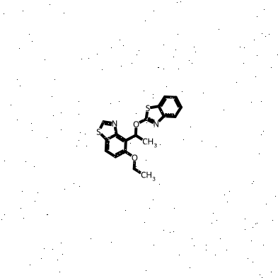 CCOc1ccc2scnc2c1C(C)Oc1nc2ccccc2s1